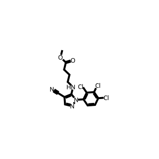 COC(=O)CCCNc1c(C#N)cnn1-c1ccc(Cl)c(Cl)c1Cl